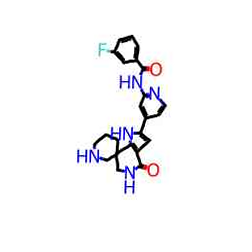 O=C(Nc1cc(-c2cc3c([nH]2)C2(CCCNC2)CNC3=O)ccn1)c1cccc(F)c1